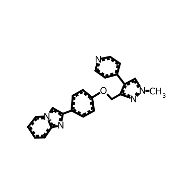 Cn1cc(-c2ccncc2)c(COc2ccc(-c3cn4ccccc4n3)cc2)n1